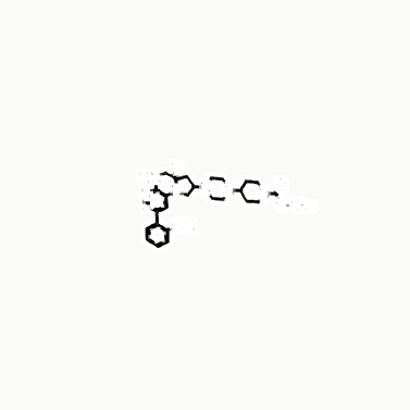 CC(C)(C)OC(=O)N1CCC(N2CCN(C3C[C@@H]4CNc5nnc(-c6ccccc6O)cc5N4C3)CC2)CC1